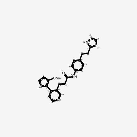 COc1ccsc1-c1ccncc1C=CC(=O)Nc1ccc(CCc2nnco2)cc1